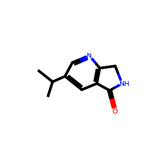 CC(C)c1cnc2c(c1)C(=O)NC2